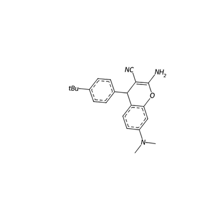 CN(C)c1ccc2c(c1)OC(N)=C(C#N)C2c1ccc(C(C)(C)C)cc1